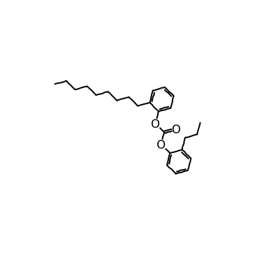 CCCCCCCCCc1ccccc1OC(=O)Oc1ccccc1CCC